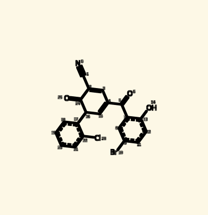 N#CC1=CC(C(=O)c2cc(Br)ccc2O)=CC(c2ccccc2Cl)C1=O